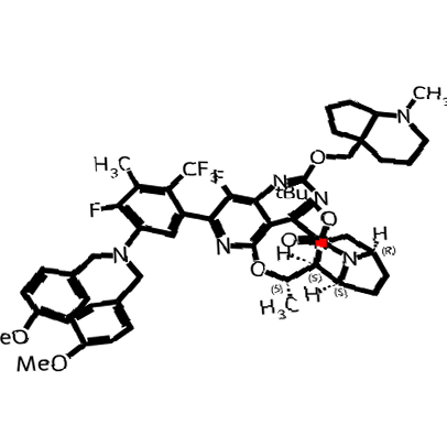 COc1ccc(CN(Cc2ccc(OC)cc2)c2cc(-c3nc4c5c(nc(OCC67CCCC6N(C)CCC7)nc5c3F)N3C[C@H]5CC[C@@H]([C@H]3[C@H](C)O4)N5C(=O)OC(C)(C)C)c(C(F)(F)F)c(C)c2F)cc1